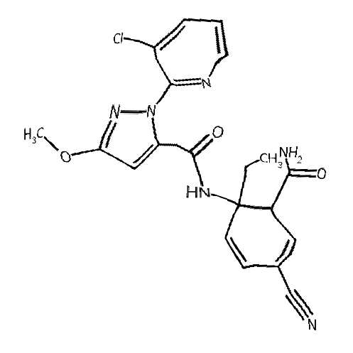 CCC1(NC(=O)c2cc(OC)nn2-c2ncccc2Cl)C=CC(C#N)=CC1C(N)=O